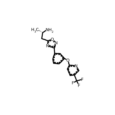 C[C@H](N)Cc1nc(-c2cccc(Oc3ccc(C(F)(F)F)cn3)c2)no1